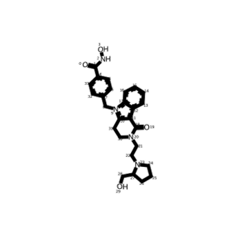 O=C(NO)c1ccc(Cn2c3c(c4ccccc42)C(=O)N(CCN2CCCC2CO)CC3)cc1